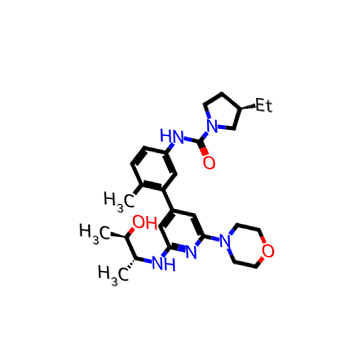 CC[C@@H]1CCN(C(=O)Nc2ccc(C)c(-c3cc(N[C@H](C)[C@@H](C)O)nc(N4CCOCC4)c3)c2)C1